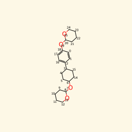 c1cc(C2CCC(OC3CCCCO3)CC2)ccc1OC1CCCCO1